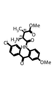 COC(=O)[C@H](C)[C@H](N)C(=O)Nc1ccc(OC)cc1C(=O)c1ccc(Cl)cc1